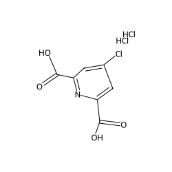 Cl.Cl.O=C(O)c1cc(Cl)cc(C(=O)O)n1